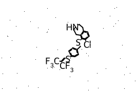 FC(F)(F)C(=CSc1ccc(CSc2c(Cl)ccc3c2CCNCC3)cc1)C(F)(F)F